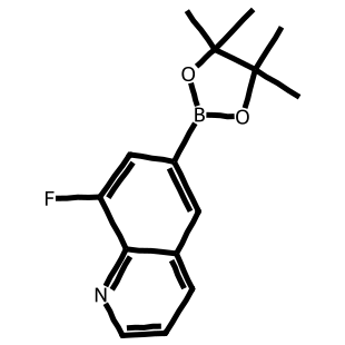 CC1(C)OB(c2cc(F)c3ncccc3c2)OC1(C)C